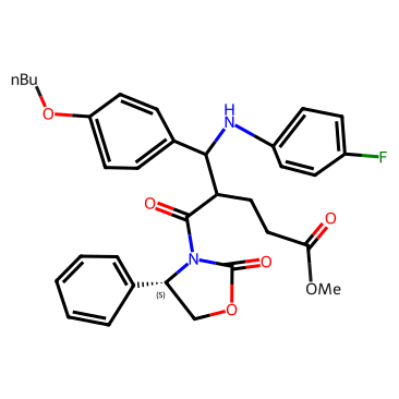 CCCCOc1ccc(C(Nc2ccc(F)cc2)C(CCC(=O)OC)C(=O)N2C(=O)OC[C@@H]2c2ccccc2)cc1